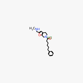 CNCc1cc2c(o1)CN(C(=O)CCCCCc1ccccc1)CC2.Cl